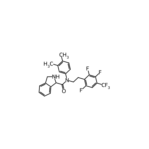 Cc1ccc(N(CCc2c(F)cc(C(F)(F)F)c(F)c2F)C(=O)C2NCc3ccccc32)cc1C